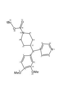 COc1ccc(C(c2ccncc2)C2CCN(C(=O)OC(C)(C)C)CC2)cc1OC